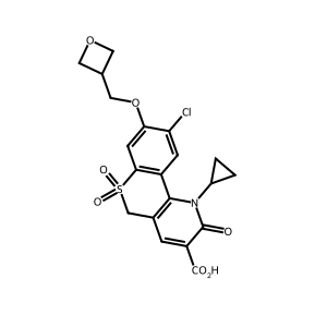 O=C(O)c1cc2c(n(C3CC3)c1=O)-c1cc(Cl)c(OCC3COC3)cc1S(=O)(=O)C2